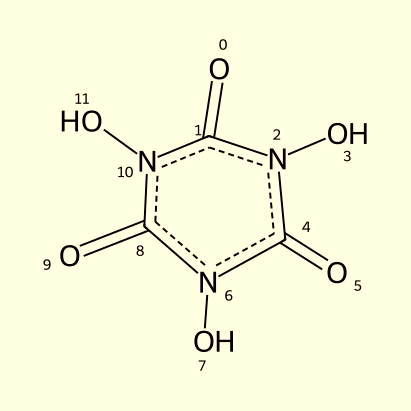 O=c1n(O)c(=O)n(O)c(=O)n1O